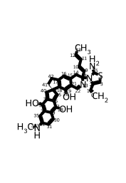 C=CC1=CSC(N)N1C1(/C=C/C=C/C)Cc2cc3c(c(O)c2C=N1)[C@]1(C=c2c(O)c4ccc(NC)cc4c(O)c2=C1)CC3